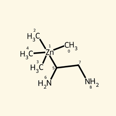 [CH3][Zn]([CH3])([CH3])([CH3])[CH](N)CN